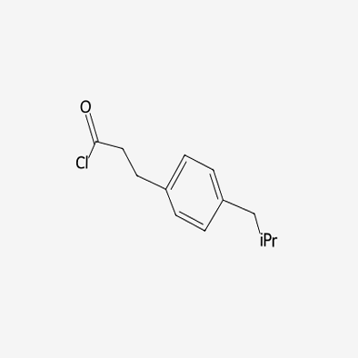 CC(C)Cc1ccc(CCC(=O)Cl)cc1